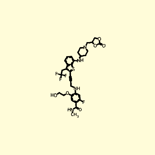 CNC(=O)c1cc(OCCO)c(NCC#Cc2sc3c(NC4CCN(CC5COC(=O)O5)CC4)cccc3c2CC(F)(F)F)cc1F